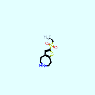 CCS(=O)(=O)c1cc2c(s1)CCNCC2